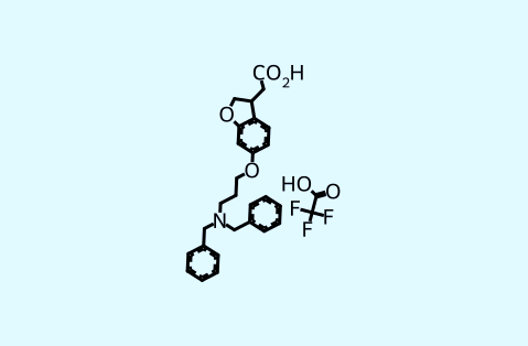 O=C(O)C(F)(F)F.O=C(O)CC1COc2cc(OCCCN(Cc3ccccc3)Cc3ccccc3)ccc21